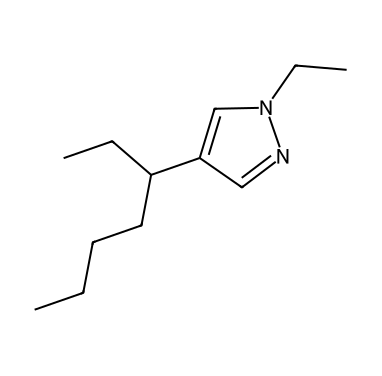 CCCCC(CC)c1cnn(CC)c1